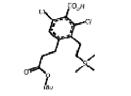 CC(C)(C)OC(=O)CCc1cc(Cl)c(C(=O)O)c(Cl)c1CC[Si](C)(C)C